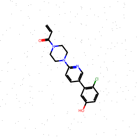 C=CC(=O)N1CCN(c2ccc(-c3cc(O)ccc3Cl)cn2)CC1